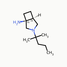 CCCC(C)(C)N1C[C@@H]2CC[C@@]2(N)C1